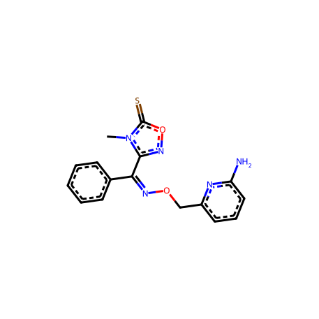 Cn1c(C(=NOCc2cccc(N)n2)c2ccccc2)noc1=S